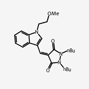 CCCCN1C(=O)C(=Cc2cn(CCOC)c3ccccc23)C(=O)N1CCCC